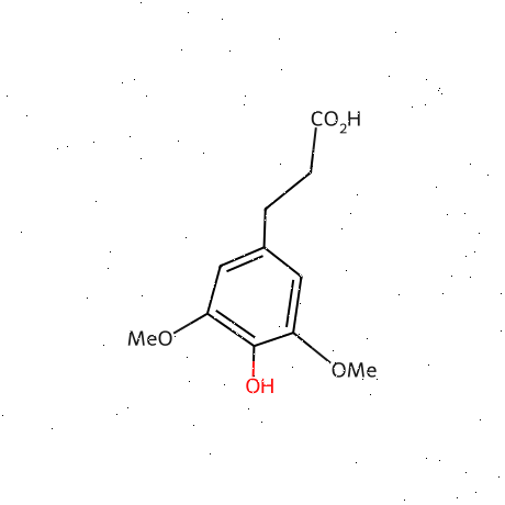 COc1cc(CCC(=O)O)cc(OC)c1O